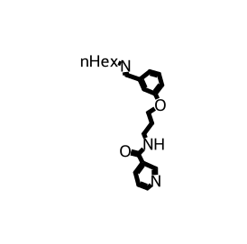 CCCCCCN=Cc1cccc(OCCCNC(=O)c2cccnc2)c1